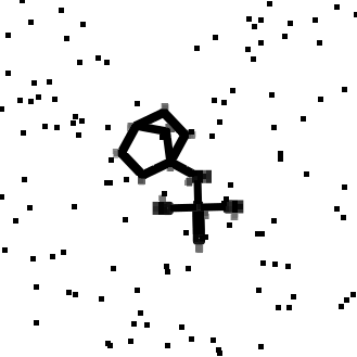 O=P(O)(O)NC12CCC(CC1)C2